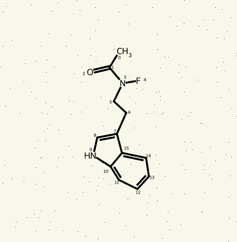 CC(=O)N(F)CCc1c[nH]c2ccccc12